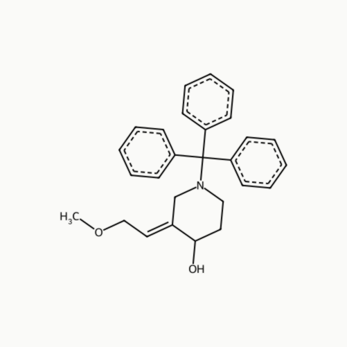 COC/C=C1\CN(C(c2ccccc2)(c2ccccc2)c2ccccc2)CCC1O